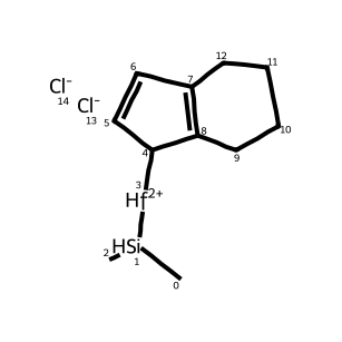 C[SiH](C)[Hf+2][CH]1C=CC2=C1CCCC2.[Cl-].[Cl-]